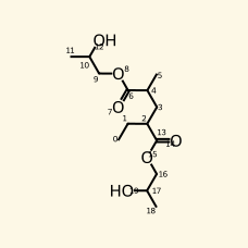 CCC(CC(C)C(=O)OCC(C)O)C(=O)OCC(C)O